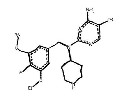 CCOc1cc(CN(c2ncc(C#N)c(N)n2)C2CCNCC2)cc(OCC)c1F